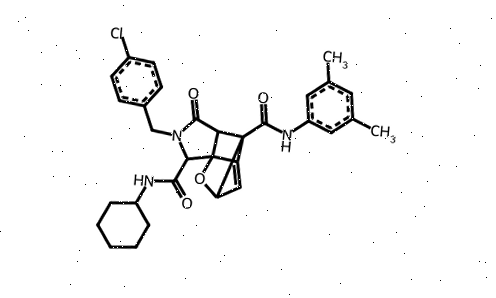 Cc1cc(C)cc(NC(=O)C23C4=CC2OC42C(C(=O)NC4CCCCC4)N(Cc4ccc(Cl)cc4)C(=O)C23)c1